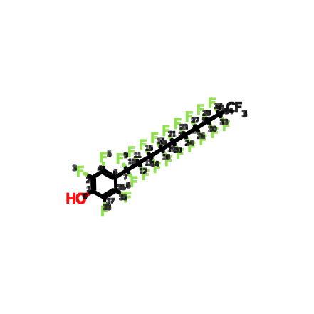 Oc1c(F)c(F)c(C(F)(F)C(F)(F)C(F)(F)C(F)(F)C(F)(F)C(F)(F)C(F)(F)C(F)(F)C(F)(F)C(F)(F)F)c(F)c1F